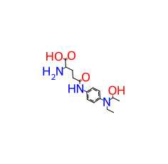 CCN(c1ccc(NC(=O)CCC(N)C(=O)O)cc1)C(C)O